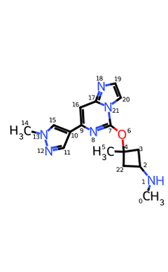 CNC1CC(C)(Oc2nc(-c3cnn(C)c3)cc3nccn23)C1